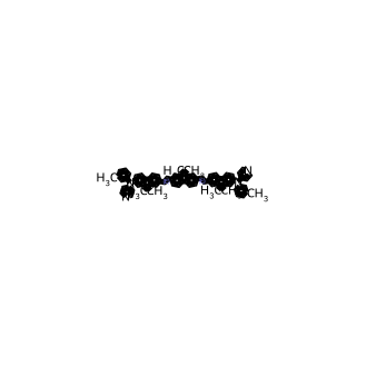 Cc1cccc(N(c2ccncc2)c2ccc3c(c2)C(C)(C)c2cc(/C=C/c4ccc5c(c4)C(C)(C)c4cc(/C=C/c6ccc7c(c6)C(C)(C)c6cc(N(c8ccncc8)c8cccc(C)c8)ccc6-7)ccc4-5)ccc2-3)c1